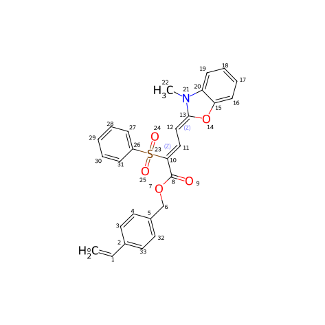 C=Cc1ccc(COC(=O)/C(=C/C=C2\Oc3ccccc3N2C)S(=O)(=O)c2ccccc2)cc1